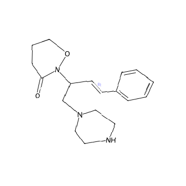 O=C1CCCON1C(/C=C/c1ccccc1)CN1CCNCC1